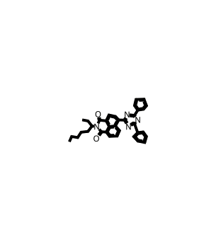 CCCCCC(CC)N1C(=O)c2cccc3c(-c4nc(-c5ccccc5)nc(-c5ccccc5)n4)ccc(c23)C1=O